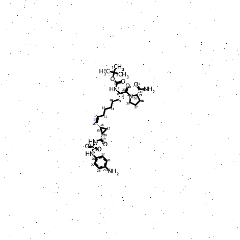 CC(C)(C)OC(=O)N[C@@H](CCCCC/C=C\[C@@H]1C[C@@H]1C(=O)NS(=O)(=O)Nc1ccc(N)cc1)C(=O)N1CCC[C@H]1C(N)=O